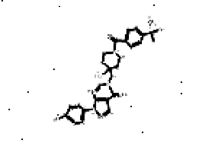 C[C@](O)(c1ccc(C(=O)N2CCC(O)(Cn3cnc4c(cnn4-c4ccc(F)cc4)c3=O)CC2)cc1)C(F)(F)F